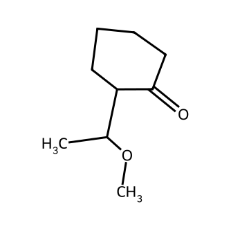 COC(C)C1CCCCC1=O